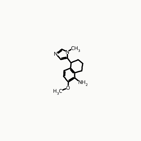 COc1ccc2c(c1N)CCCC2c1cncn1C